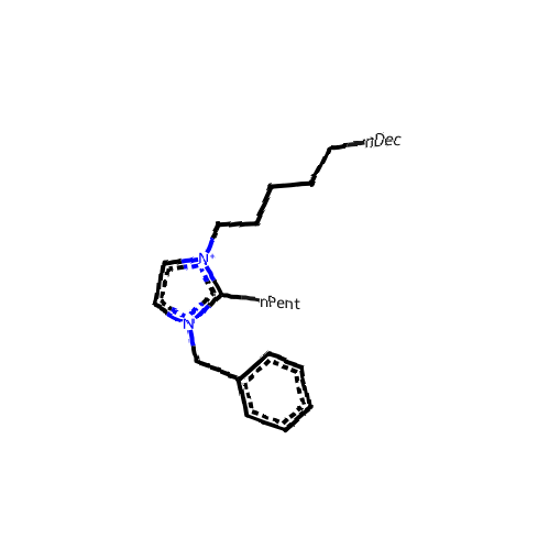 CCCCCCCCCCCCCCC[n+]1ccn(Cc2ccccc2)c1CCCCC